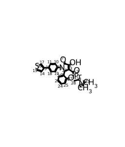 CC(C)C(=O)C1=C(O)C(=O)N(c2ccc(-c3ccsc3)cc2)C1c1ccccc1OCCN(C)C